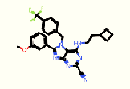 COc1cccc(-c2nc3nc(C#N)nc(NCCC4CCC4)c3n2Cc2ccc(C(F)(F)F)cc2)c1